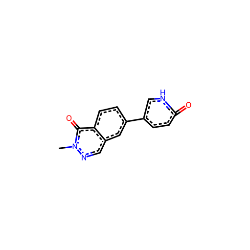 Cn1ncc2cc(-c3ccc(=O)[nH]c3)ccc2c1=O